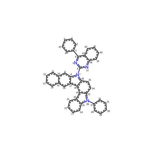 c1ccc(-c2nc(-n3c4cc5ccccc5cc4c4c5c6ccccc6n(-c6ccccc6)c5ccc43)nc3ccccc23)cc1